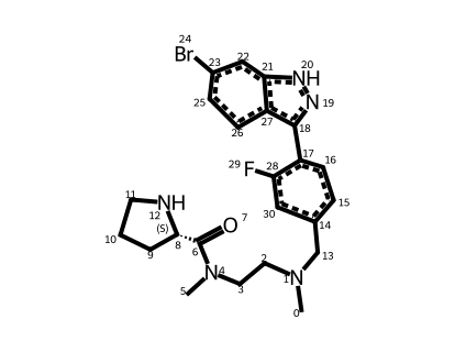 CN(CCN(C)C(=O)[C@@H]1CCCN1)Cc1ccc(-c2n[nH]c3cc(Br)ccc23)c(F)c1